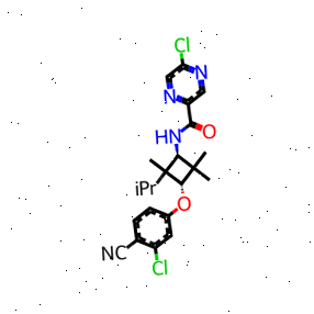 CC(C)C1(C)[C@@H](NC(=O)c2cnc(Cl)cn2)C(C)(C)[C@@H]1Oc1ccc(C#N)c(Cl)c1